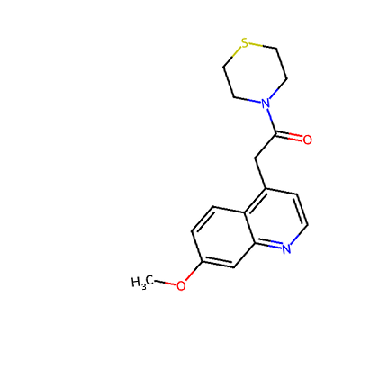 COc1ccc2c(CC(=O)N3CCSCC3)ccnc2c1